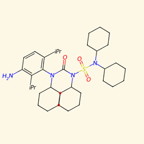 CC(C)c1ccc(N)c(C(C)C)c1N(C(=O)N(C1CCCCC1)S(=O)(=O)N(C1CCCCC1)C1CCCCC1)C1CCCCC1